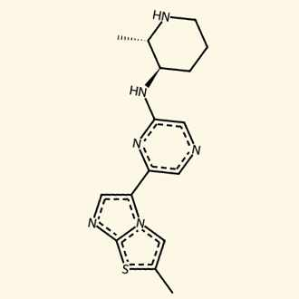 Cc1cn2c(-c3cncc(N[C@@H]4CCCN[C@H]4C)n3)cnc2s1